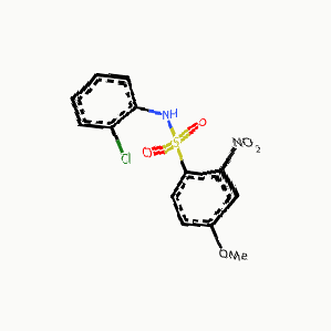 COc1ccc(S(=O)(=O)Nc2ccccc2Cl)c([N+](=O)[O-])c1